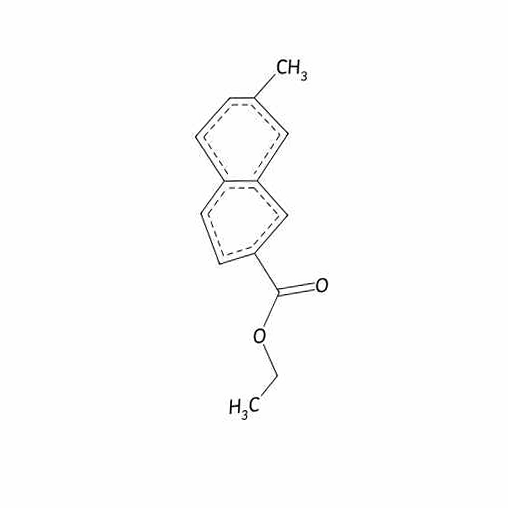 CCOC(=O)c1ccc2ccc(C)cc2c1